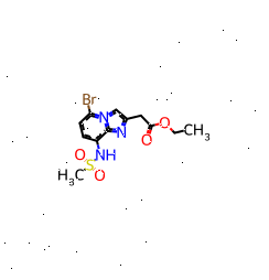 CCOC(=O)Cc1cn2c(Br)ccc(NS(C)(=O)=O)c2n1